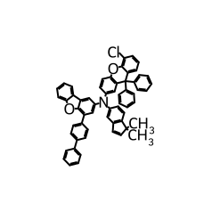 CC1(C)C=Cc2cc(N(c3ccc4c(c3)C(c3ccccc3)(c3ccccc3)c3cccc(Cl)c3O4)c3cc(-c4ccc(-c5ccccc5)cc4)c4oc5ccccc5c4c3)ccc21